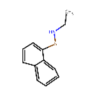 CCNSc1cccc2ccccc12